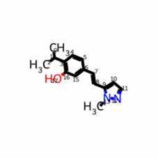 CC(C)c1ccc(/C=C/c2ccnn2C)cc1O